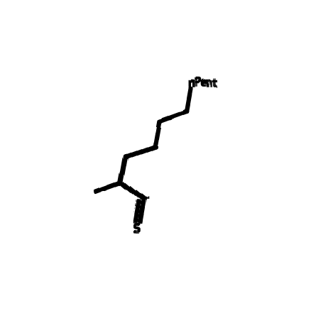 CCCCCCCCCC(C)[C]=S